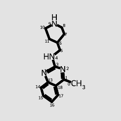 Cc1nc(NCC2CCNCC2)nc2ccccc12